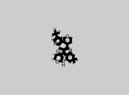 CC1(C)Cc2nc(C3CCOCC3)c3c(c2[C@@H](O)C1)C1(CCOCC1)O[C@@H]3c1ccc(C(C)(C)C)cn1